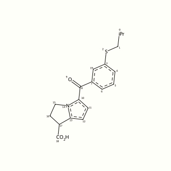 CC(C)CSc1cccc(C(=O)c2ccc3n2CCC3C(=O)O)c1